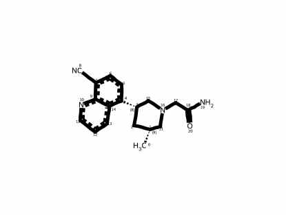 C[C@@H]1C[C@H](c2ccc(C#N)c3ncccc23)CN(CC(N)=O)C1